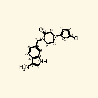 Nc1c[nH]c2cc(CN3CCN(c4ccc(Cl)s4)CC3=O)ccc12